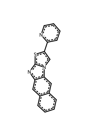 c1ccc(-c2cn3c(nc4cc5ccccc5cc43)s2)nc1